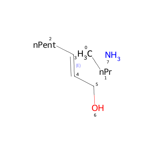 CCCC.CCCCC/C=C/CO.N